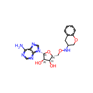 Nc1ncnc2c1ncn2[C@@H]1O[C@H](CONC2COc3ccccc3C2)[C@@H](O)[C@H]1O